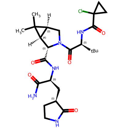 CC(C)(C)[C@H](NC(=O)C1(Cl)CC1)C(=O)N1C[C@H]2[C@@H]([C@H]1C(=O)N[C@@H](C[C@@H]1CCNC1=O)C(N)=O)C2(C)C